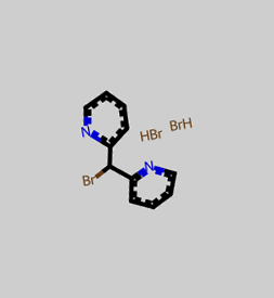 Br.Br.BrC(c1ccccn1)c1ccccn1